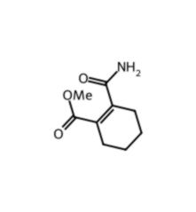 COC(=O)C1=C(C(N)=O)CCCC1